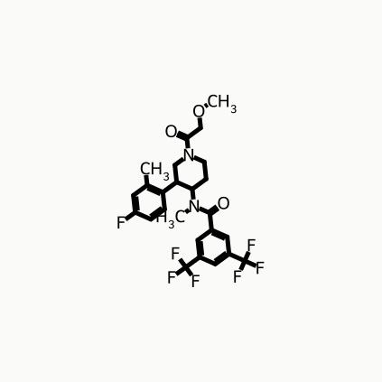 COCC(=O)N1CCC(N(C)C(=O)c2cc(C(F)(F)F)cc(C(F)(F)F)c2)C(c2ccc(F)cc2C)C1